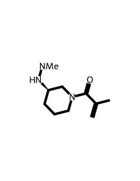 C=C(C)C(=O)N1CCC[C@@H](NNC)C1